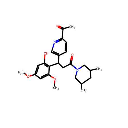 COc1cc(O)c(C(CC(=O)N2CC(C)CC(C)C2)c2ccc(C(C)=O)nc2)c(OC)c1